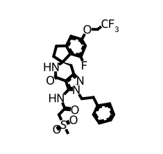 CS(=O)(=O)CC(=O)Nc1c2c(nn1CCc1ccccc1)C[C@]1(CCc3cc(OCC(F)(F)F)cc(F)c31)NC2=O